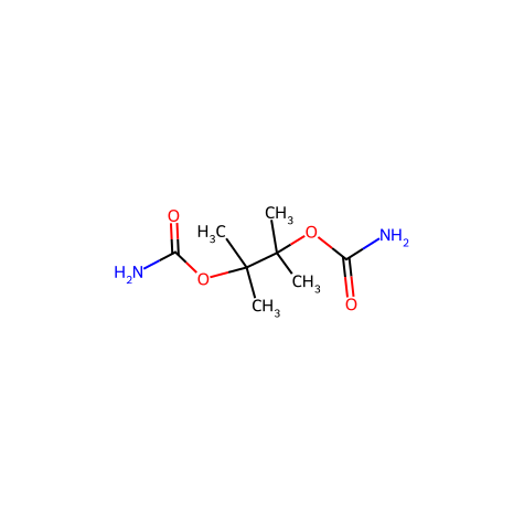 CC(C)(OC(N)=O)C(C)(C)OC(N)=O